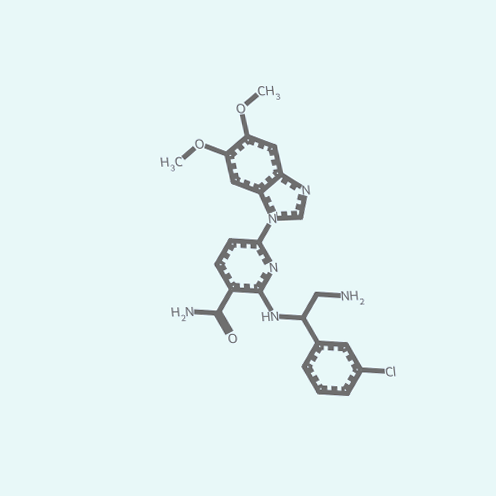 COc1cc2ncn(-c3ccc(C(N)=O)c(NC(CN)c4cccc(Cl)c4)n3)c2cc1OC